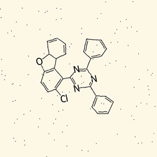 Clc1ccc2c(c1-c1nc(-c3ccccc3)nc(-c3ccccc3)n1)C1C=CC=CC1O2